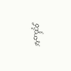 COC(=O)c1ccc(CN2C[C@@H](C)N(Cc3cccc(C=O)c3)[C@@H](C)C2)cc1